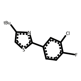 CC(C)(C)c1csc(-c2ccc(F)c(Cl)c2)n1